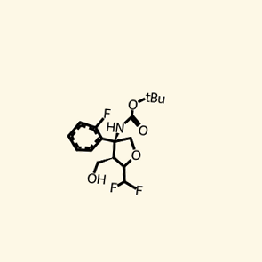 CC(C)(C)OC(=O)N[C@@]1(c2ccccc2F)COC(C(F)F)[C@H]1CO